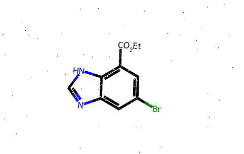 CCOC(=O)c1cc(Br)cc2nc[nH]c12